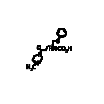 CN1CCN(C(=O)CC[C@H](CSc2ccccc2)NC(=O)O)CC1